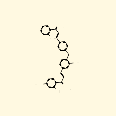 C=C(/C=C/c1ccc(Cc2ccc(/C=C/C(=C)c3ccc(C)cc3O)cc2C)cc1)c1ccccc1C